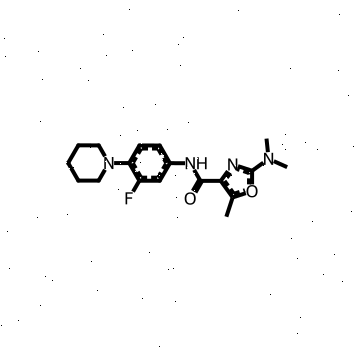 Cc1oc(N(C)C)nc1C(=O)Nc1ccc(N2CCCCC2)c(F)c1